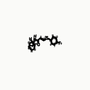 O=C(/C=C/Sc1ccc(F)cc1)N[C@H]1CN2CCC1CC2